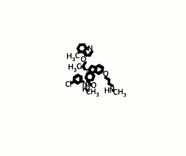 CNCCCCOc1ccc2c(c1)C1(CCC(Nc3cccc(Cl)c3)(C(=O)OC)CC1)[C@@H](C[C@@H](C)COc1ccnc3c1[C@H](C)CCC3)C2